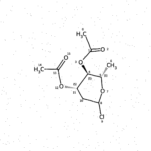 CC(=O)O[C@H]1[C@H](C)OC(Cl)C[C@@H]1OC(C)=O